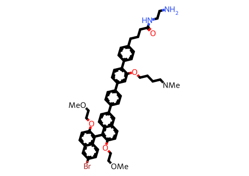 CNCCCCOc1cc(-c2ccc(-c3ccc4c(-c5c(OCCOC)ccc6cc(Br)ccc56)c(OCCOC)ccc4c3)cc2)ccc1-c1ccc(CCCC(=O)NCCN)cc1